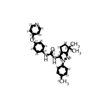 Cc1ccc(-n2nc3c(c2NC(=O)Nc2ccc(Oc4ccncc4)cc2)CCC3(C)C)cc1